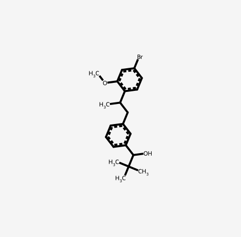 COc1cc(Br)ccc1C(C)Cc1cccc(C(O)C(C)(C)C)c1